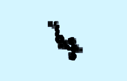 CCCCCc1ccc(S(=O)(=O)NCCc2c(-c3cccs3)n[nH]c2-c2cccs2)cc1